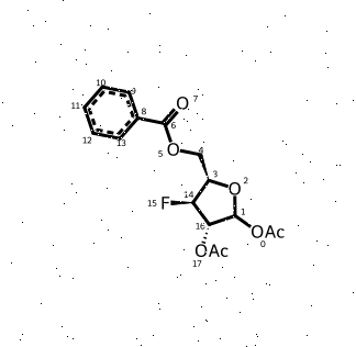 CC(=O)OC1O[C@H](COC(=O)c2ccccc2)[C@H](F)[C@H]1OC(C)=O